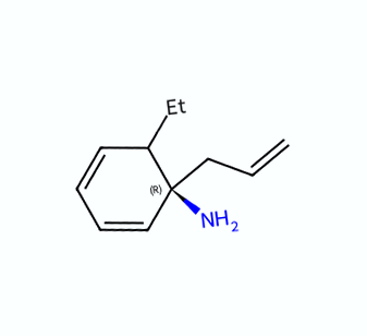 C=CC[C@]1(N)C=CC=CC1CC